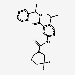 CC(NC(=O)c1cc(NC(=O)N2CCCC(F)(F)C2)ccc1N(C)C)c1ccccc1